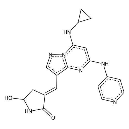 O=C1NC(O)C/C1=C\c1cnn2c(NC3CC3)cc(Nc3ccncc3)nc12